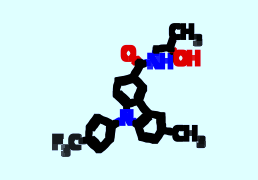 Cc1ccc2c(c1)c1cc(C(=O)NCC(C)O)ccc1n2-c1ccc(C(F)(F)F)cc1